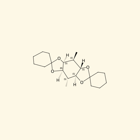 C[C@@H]1[C@H]2OC3(CCCCC3)O[C@H]2[C@@H](C)[C@@H]2OC3(CCCCC3)O[C@@H]12